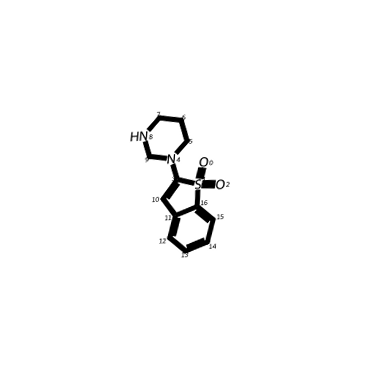 O=S1(=O)C(N2CCCNC2)=Cc2ccccc21